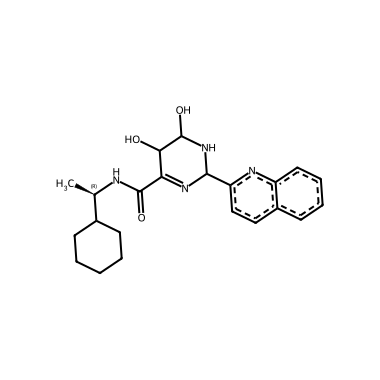 C[C@@H](NC(=O)C1=NC(c2ccc3ccccc3n2)NC(O)C1O)C1CCCCC1